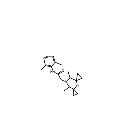 Cc1cccc(C)c1NC(=O)CN1C(C)C2(CC2)OC2(CC2)C1C